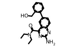 CCN(CC)C(=O)c1nc(N)nc2ccc(-c3ccccc3CO)cc12